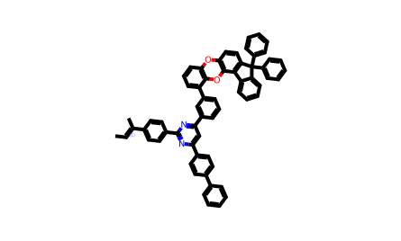 C/C=C(\C)c1ccc(-c2nc(-c3ccc(-c4ccccc4)cc3)cc(-c3cccc(-c4cccc5c4Oc4c(ccc6c4-c4ccccc4C6(c4ccccc4)c4ccccc4)O5)c3)n2)cc1